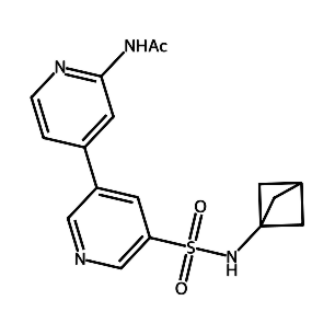 CC(=O)Nc1cc(-c2cncc(S(=O)(=O)NC34CC(C3)C4)c2)ccn1